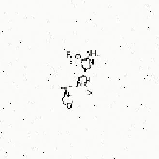 C=C(CCn1cc(-c2cnc(N)c(OC(F)F)c2)nc1C1CC1)N1CCOCC1